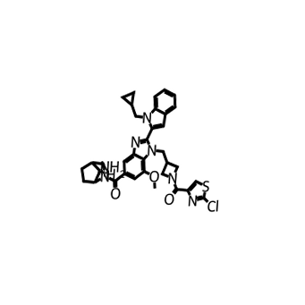 COc1cc(C(=O)N2CC3CCC2[C@@H]3N)cc2nc(-c3cc4ccccc4n3CC3CC3)n(CC3CN(C(=O)c4csc(Cl)n4)C3)c12